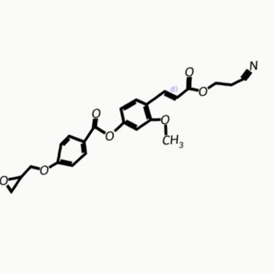 COc1cc(OC(=O)c2ccc(OCC3CO3)cc2)ccc1/C=C/C(=O)OCCC#N